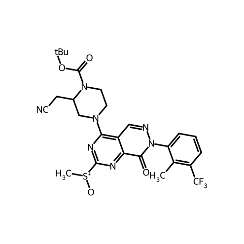 Cc1c(-n2ncc3c(N4CCN(C(=O)OC(C)(C)C)C(CC#N)C4)nc([S+](C)[O-])nc3c2=O)cccc1C(F)(F)F